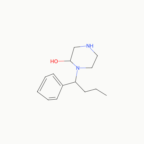 CCCC(c1ccccc1)N1CCNCC1O